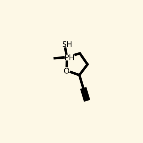 C#CC1CC[PH](C)(S)O1